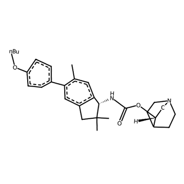 CCCCOc1ccc(-c2cc3c(cc2C)[C@H](NC(=O)O[C@@H]2CN4CCC2CC4)C(C)(C)C3)cc1